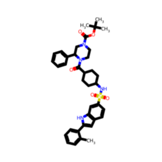 Cc1ccccc1-c1cc2ccc(S(=O)(=O)NC3CCC(C(=O)N4CCN(C(=O)OC(C)(C)C)CC4c4ccccc4)CC3)cc2[nH]1